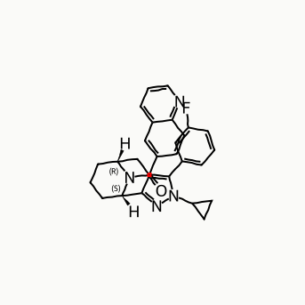 O=C(c1ccc2ncccc2c1)N1[C@@H]2CCC[C@H]1c1nn(C3CC3)c(-c3cccc(F)c3)c1C2